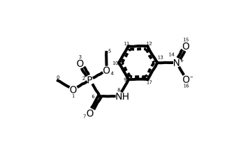 COP(=O)(OC)C(=O)Nc1cccc([N+](=O)[O-])c1